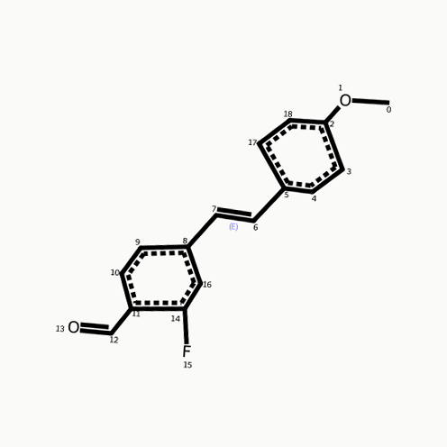 COc1ccc(/C=C/c2ccc(C=O)c(F)c2)cc1